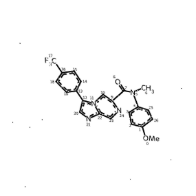 COc1ccc(N(C)C(=O)c2cn3c(-c4ccc(C(F)(F)F)cc4)cnc3cn2)cc1